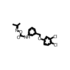 CC(C)=NOC(=O)Nc1cccc(COc2ccc(Cl)c(Cl)c2)c1